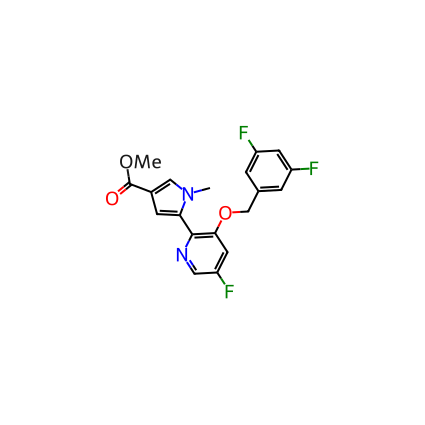 COC(=O)c1cc(-c2ncc(F)cc2OCc2cc(F)cc(F)c2)n(C)c1